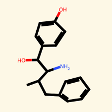 CC(Cc1ccccc1)C(N)C(O)c1ccc(O)cc1